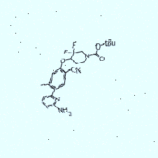 Cc1cc(OC2CCN(C(=O)OC(C)(C)C)CC2(F)F)c(C#N)cc1-c1ccnc(N)n1